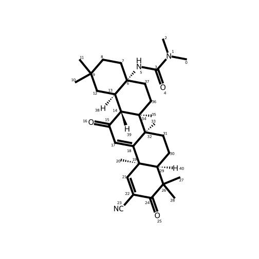 CN(C)C(=O)N[C@@]12CCC(C)(C)C[C@@H]1[C@H]1C(=O)C=C3[C@]4(C)C=C(C#N)C(=O)C(C)(C)[C@@H]4CC[C@]3(C)[C@]1(C)CC2